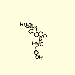 C[C@]12CCC(=O)C(SCC(=O)NCCc3ccc(O)cc3)=C1CCC1C3CC[C@H](C(=O)CO)[C@@]34CC(O[C@@H]4O)C12